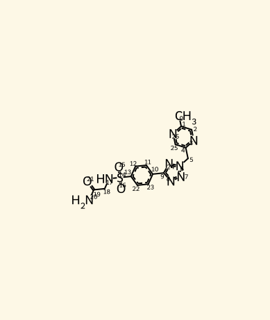 Cc1cnc(Cn2nnc(-c3ccc(S(=O)(=O)NCC(N)=O)cc3)n2)cn1